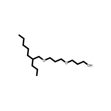 CCCCCC(CCC)COCCCOCCCO